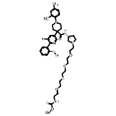 CCOc1ccccc1-c1ncc(C2(C(=O)N[C@@H]3CCN(CCOCCOCCOCCOCCNC(=O)OC(C)(C)C)C3)CCN(c3ccc(C(F)(F)F)cc3C#N)CC2)cc1F